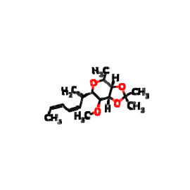 C=C(/C=C\C=C/C)[C@H]1OC(C)[C@@H]2OC(C)(C)O[C@@H]2[C@H]1OC